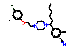 CCCCCC(c1ccc(C#N)c(C)c1)N1CCN(CCOc2ccc(F)cc2)CC1